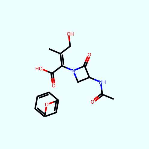 CC(=O)NC1CN(C(C(=O)O)=C(C)CO)C1=O.c1cc2cc(c1)O2